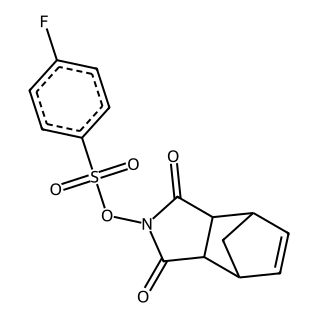 O=C1C2C3C=CC(C3)C2C(=O)N1OS(=O)(=O)c1ccc(F)cc1